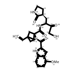 C=CC12CN(C(=O)c3cc4c(OC)cccc4[nH]3)C(C(=O)NC(C[C@@H]3CCNC3=O)C(=O)CO)(C1)C2